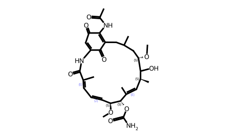 CO[C@H]1CC(C)CC2=C(NC(C)=O)C(=O)C=C(NC(=O)/C(C)=C/C=C\[C@H](OC)[C@@H](OC(N)=O)/C(C)=C/[C@H](C)C1O)C2=O